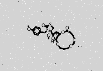 COc1ccc(CN2C(=O)SC[C@H]2[C@@]2(OC)C[C@H]3C[C@@H](CCCCCCCCCC(=O)O3)O2)cc1